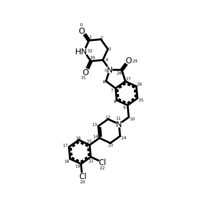 O=C1CCC(N2Cc3cc(CN4CC=C(c5cccc(Cl)c5Cl)CC4)ccc3C2=O)C(=O)N1